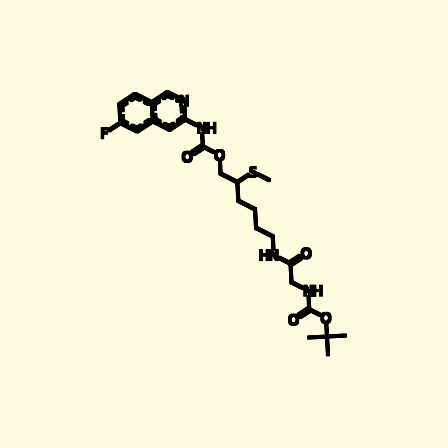 CSC(CCCCNC(=O)CNC(=O)OC(C)(C)C)COC(=O)Nc1cc2cc(F)ccc2cn1